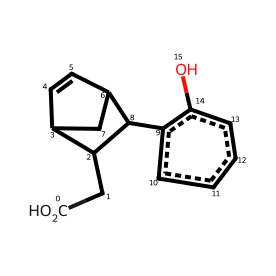 O=C(O)CC1C2C=CC(C2)C1c1ccccc1O